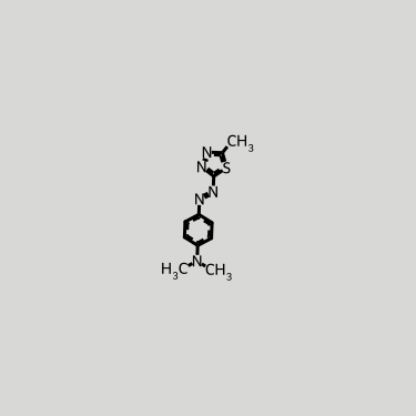 Cc1nnc(N=Nc2ccc(N(C)C)cc2)s1